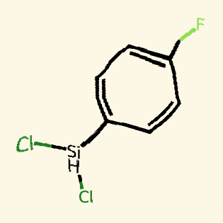 Fc1ccc([SiH](Cl)Cl)cc1